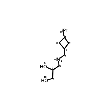 CC(C)C1CC(CNCC(O)CO)C1